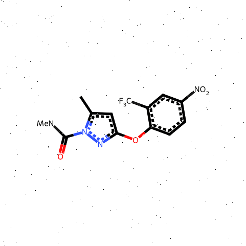 CNC(=O)n1nc(Oc2ccc([N+](=O)[O-])cc2C(F)(F)F)cc1C